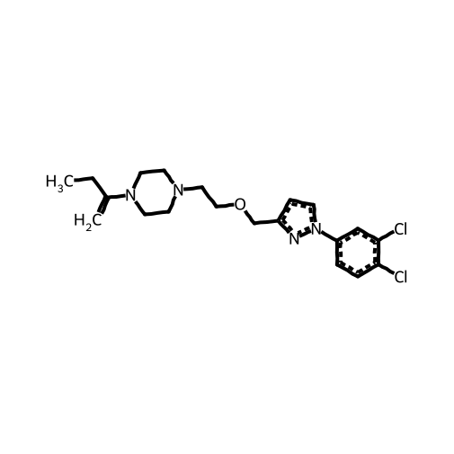 C=C(CC)N1CCN(CCOCc2ccn(-c3ccc(Cl)c(Cl)c3)n2)CC1